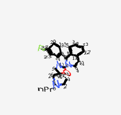 CCCN1CC[C@@]2(CN=C(N3CCc4ccccc4[C@@H]3c3ccc(F)cc3)O2)C1